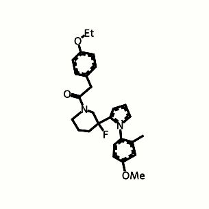 CCOc1ccc(CC(=O)N2CCCC(F)(c3cccn3-c3ccc(OC)cc3C)C2)cc1